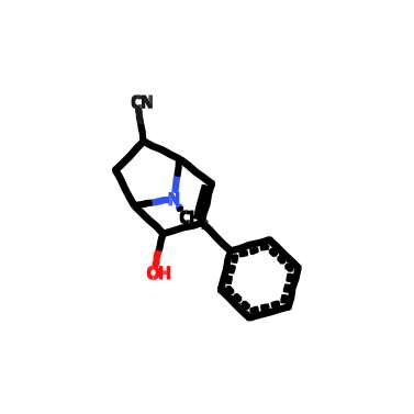 CN1C2C=C(c3ccccc3)C(O)C1CC2C#N